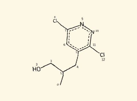 CC(CO)Cc1cc(Cl)nnc1Cl